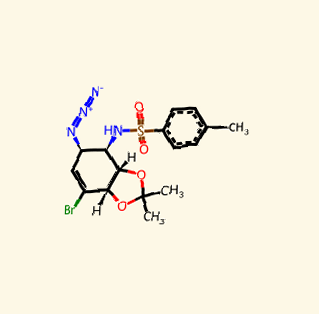 Cc1ccc(S(=O)(=O)N[C@H]2[C@@H]3OC(C)(C)O[C@@H]3C(Br)=C[C@H]2N=[N+]=[N-])cc1